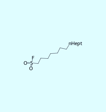 CCCCCCCCCCCCCCS(=O)(=O)F